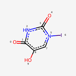 O=c1[nH]c(=O)n(I)cc1O